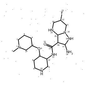 CN1CCCC(OC2CCNCC2NC(=O)C2C(N)NN3CC(F)CNC23)C1